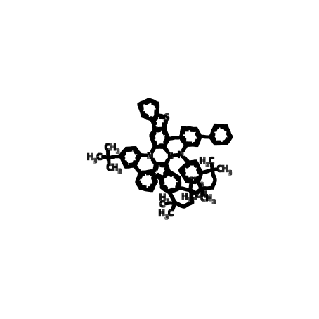 CC(C)(C)c1ccc(N2c3cc4c(sc5ccccc54)c4c3B(c3c2sc2cc5c(cc32)C(C)(C)CCC5(C)C)N(c2ccc3c(c2)C(C)(C)CCC3(C)C)c2cc(-c3ccccc3)ccc2-4)c(-c2ccccc2)c1